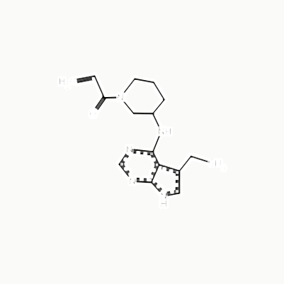 C=CC(=O)N1CCCC(Nc2ncnc3[nH]cc(CC)c23)C1